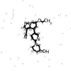 CCOc1cc(-c2ccc(N3CCC[C@H](O)C3)nc2)c2c(C#N)cnn2c1